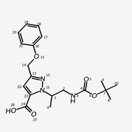 CC(CNC(=O)OC(C)(C)C)n1nc(COc2ccccc2)cc1C(=O)O